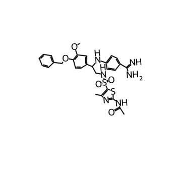 COc1cc(C(CNS(=O)(=O)c2sc(NC(C)=O)nc2C)Nc2ccc(C(=N)N)cc2)ccc1OCc1ccccc1